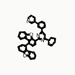 c1ccc(-c2cc(-c3cccc(-c4cccnc4)c3)nc(-c3ccc(-c4cccc5oc6ccccc6c45)c4c3oc3ccccc34)n2)cc1